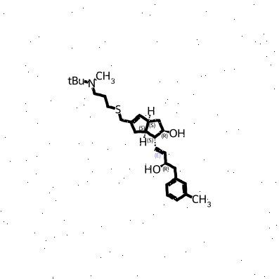 Cc1cccc(C[C@@H](O)/C=C/[C@@H]2[C@H]3CC(CSCCCN(C)C(C)(C)C)=C[C@H]3C[C@H]2O)c1